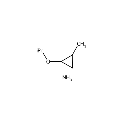 CC(C)OC1CC1C.N